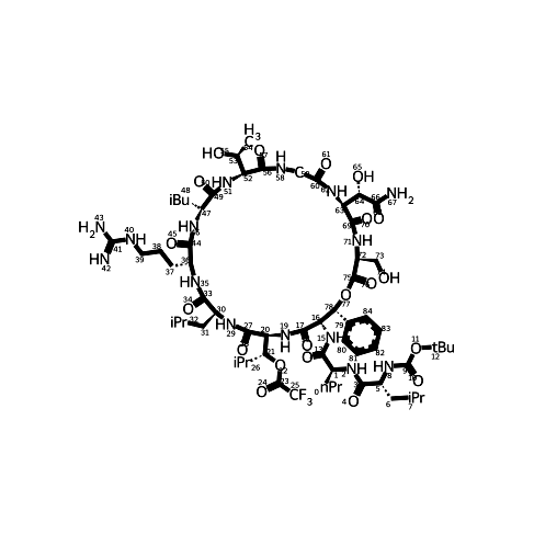 CCC[C@H](NC(=O)[C@@H](CC(C)C)NC(=O)OC(C)(C)C)C(=O)N[C@@H]1C(=O)N[C@@H]([C@H](OC(=O)C(F)(F)F)C(C)C)C(=O)N[C@@H](CC(C)C)C(=O)N[C@H](CCCNC(=N)N)C(=O)N[C@@H]([C@@H](C)CC)C(=O)N[C@@H]([C@H](C)O)C(=O)NCC(=O)N[C@@H]([C@H](O)C(N)=O)C(=O)N[C@@H](CO)C(=O)O[C@@H]1c1ccccc1